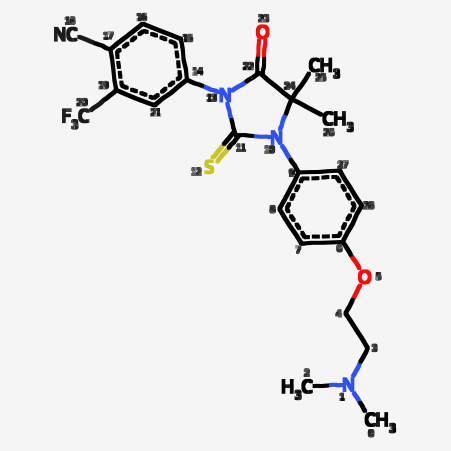 CN(C)CCOc1ccc(N2C(=S)N(c3ccc(C#N)c(C(F)(F)F)c3)C(=O)C2(C)C)cc1